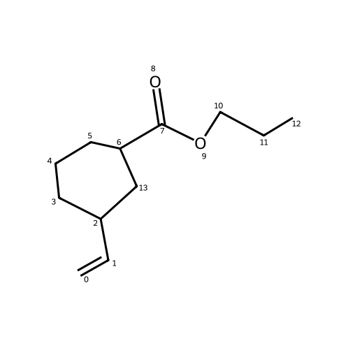 C=CC1CCCC(C(=O)OCCC)C1